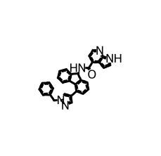 O=C(NC1c2ccccc2-c2c(-c3cnn(Cc4ccccc4)c3)cccc21)c1ccnc2[nH]ccc12